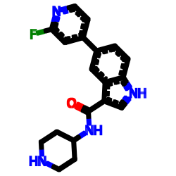 O=C(NC1CCNCC1)c1c[nH]c2ccc(-c3ccnc(F)c3)cc12